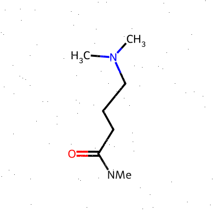 CNC(=O)CCCN(C)C